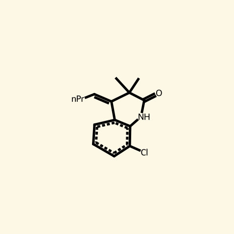 CCC/C=C1\c2cccc(Cl)c2NC(=O)C1(C)C